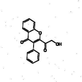 O=C(CO)c1oc2ccccc2c(=O)c1-c1ccccc1